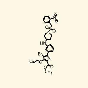 COC(=O)c1sc(-c2cccc(NC3CCN(S(=O)(=O)Cc4ccccc4[N+](=O)[O-])CC3)c2)c(Br)c1OCC=O